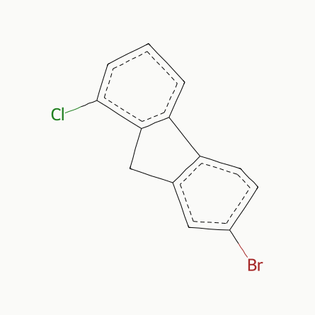 Clc1cccc2c1Cc1cc(Br)ccc1-2